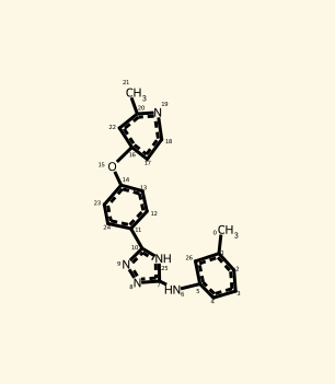 Cc1cccc(Nc2nnc(-c3ccc(Oc4ccnc(C)c4)cc3)[nH]2)c1